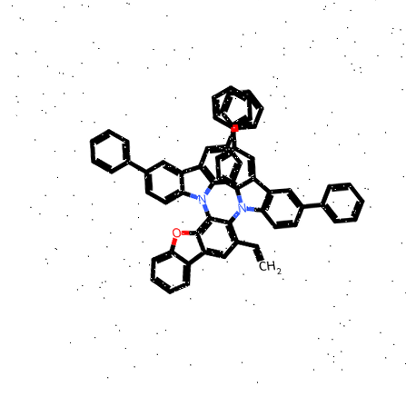 C=Cc1cc2c(oc3ccccc32)c(-n2c3ccc(-c4ccccc4)cc3c3cc(-c4ccccc4)ccc32)c1-n1c2ccc(-c3ccccc3)cc2c2cc(-c3ccccc3)ccc21